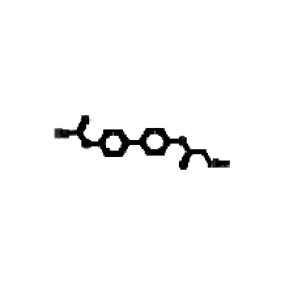 CCCCCCCCCCCC(=O)Oc1ccc(-c2ccc(OC(=O)C(C)CC)cc2)cc1